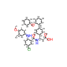 COc1ccc(Nc2ccc(Cl)cc2C(=O)NC(CC(=O)O)c2ccc(-c3ccccc3Oc3ccccc3)cc2)cc1C